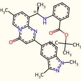 Cc1cc([C@@H](C)Nc2ccccc2C(=O)OC(C)(C)C)c2nc(-c3ccc4c(c3)c(C)nn4C)cc(=O)n2c1